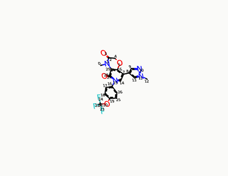 CN1C(=O)COc2c(-c3cnn(C)c3)cn(-c3ccc(OC(F)(F)F)cc3)c(=O)c21